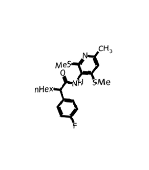 CCCCCCC(C(=O)Nc1c(SC)cc(C)nc1SC)c1ccc(F)cc1